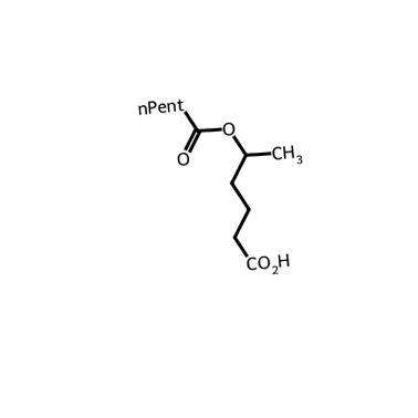 CCCCCC(=O)OC(C)CCCC(=O)O